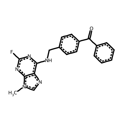 Cn1cnc2c(NCc3ccc(C(=O)c4ccccc4)cc3)nc(F)nc21